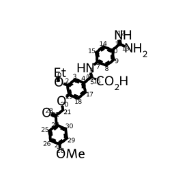 CCOc1cc([C@@H](Nc2ccc(C(=N)N)cc2)C(=O)O)ccc1OCC(=O)c1ccc(OC)cc1